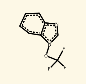 FC(F)(F)On1cnc2ccccc21